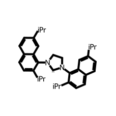 CC(C)c1ccc2ccc(C(C)C)c(N3[C]N(c4c(C(C)C)ccc5ccc(C(C)C)cc45)CC3)c2c1